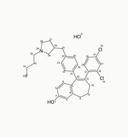 Cl.Oc1ccc2c(c1)CCCC(c1ccc(Cl)cc1Cl)=C2c1ccc(CC2CCN(CCCF)C2)cc1